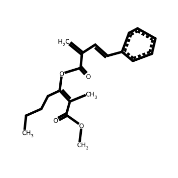 C=C(C=Cc1ccccc1)C(=O)OC(CCCC)=C(C)C(=O)OC